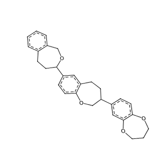 c1ccc2c(c1)CCC(c1ccc3c(c1)CCC(c1ccc4c(c1)OCCCO4)CO3)OC2